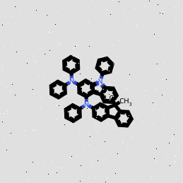 CC1(C)c2ccccc2-c2ccc(N(c3ccccc3)c3cc(N(c4ccccc4)c4ccccc4)cc4c3c3ccccc3n4-c3ccccc3)cc21